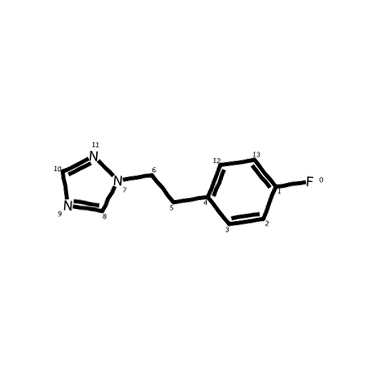 Fc1ccc([CH]Cn2cncn2)cc1